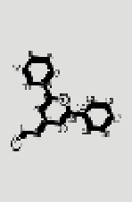 O=CC=C1C=C(c2ccccc2)OC(c2ccccc2)=C1